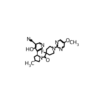 COc1cnc(N2CCC(F)(C(=O)N3C[C@H](C)C[C@H]3c3cncc(C#N)c3O)CC2)nc1